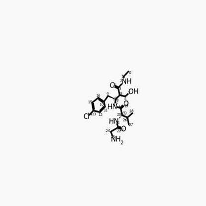 CCNC(=O)C(CO)[C@H](Cc1ccc(Cl)cc1)NC(=O)[C@@H](NC(=O)CN)C(C)C